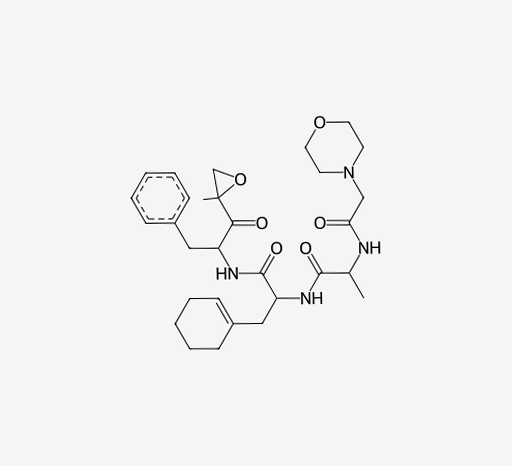 CC(NC(=O)CN1CCOCC1)C(=O)NC(CC1=CCCCC1)C(=O)NC(Cc1ccccc1)C(=O)C1(C)CO1